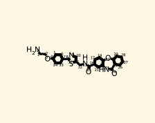 NCCOc1ccc(-c2ncc(CNC(=O)c3ccc4c(c3)NC(=O)c3ccccc3O4)s2)cc1